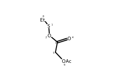 CCSOC(=O)COC(C)=O